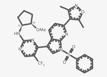 CO[C@@H]1CCC[C@@H]1Nc1ncc(C(F)(F)F)c(-c2cn(S(=O)(=O)c3ccccc3)c3nc(-c4c(C)noc4C)ccc23)n1